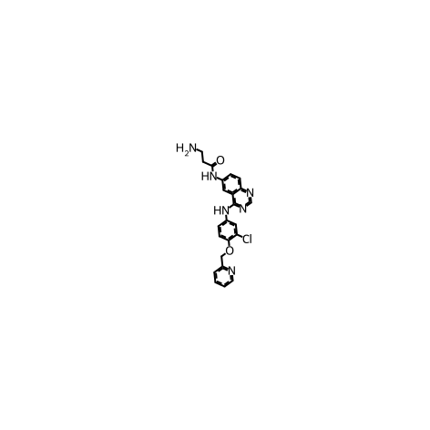 NCCC(=O)Nc1ccc2ncnc(Nc3ccc(OCc4ccccn4)c(Cl)c3)c2c1